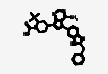 CC(C)(C)C1CC(c2cc(-c3ccc4nc(Cc5ccccc5)[nH]c4c3)c3c(N)ncnn23)CCN1C(=O)O